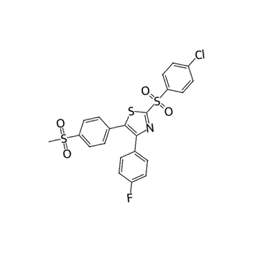 CS(=O)(=O)c1ccc(-c2sc(S(=O)(=O)c3ccc(Cl)cc3)nc2-c2ccc(F)cc2)cc1